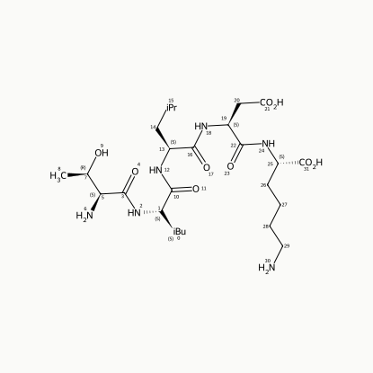 CC[C@H](C)[C@H](NC(=O)[C@@H](N)[C@@H](C)O)C(=O)N[C@@H](CC(C)C)C(=O)N[C@@H](CC(=O)O)C(=O)N[C@@H](CCCCN)C(=O)O